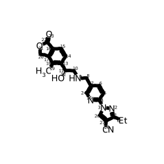 CCc1nn(-c2ccc(CNC[C@H](O)c3ccc4c(c3C)COC4=O)cn2)cc1C#N